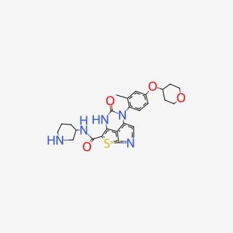 Cc1cc(OC2CCOCC2)ccc1N1C(=O)Nc2c(C(=O)NC3CCCNC3)sc3nccc1c23